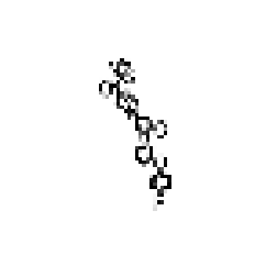 O=C(c1nccs1)N1CCN(C2CC(=O)N(c3cccc(Oc4ccc(F)cc4)c3)C2)CC1